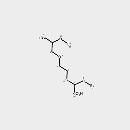 CCCCC(COCCOC(OCC)C(=O)O)OCC